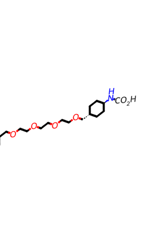 O=C(O)N[C@H]1CC[C@H](COCCOCCOCCOCc2ccccc2)CC1